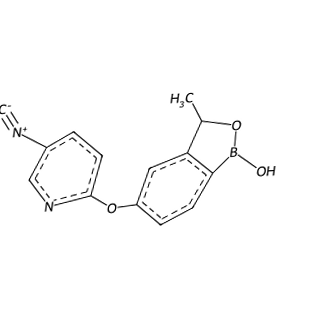 [C-]#[N+]c1ccc(Oc2ccc3c(c2)C(C)OB3O)nc1